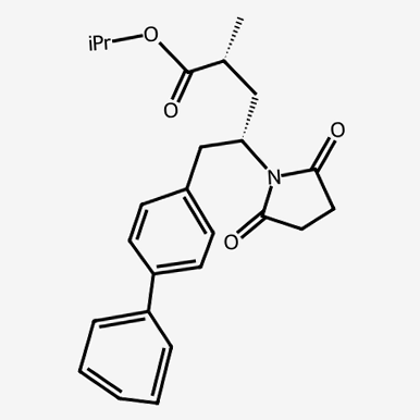 CC(C)OC(=O)[C@H](C)C[C@@H](Cc1ccc(-c2ccccc2)cc1)N1C(=O)CCC1=O